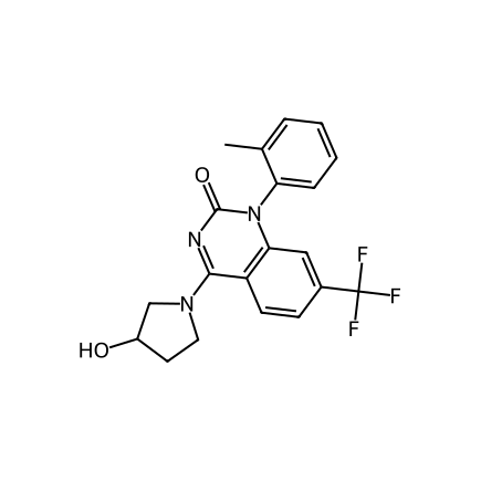 Cc1ccccc1-n1c(=O)nc(N2CCC(O)C2)c2ccc(C(F)(F)F)cc21